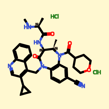 CN[C@@H](C)C(=O)N[C@@H]1C(=O)N(Cc2c(C3CC3)cnc3ccccc23)c2ccc(C#N)cc2N(C(=O)C2CCOCC2)[C@H]1C.Cl.Cl